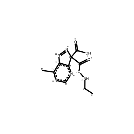 CCNOC(=O)C1(C(=O)O)N=Nc2c(C)ncnc21